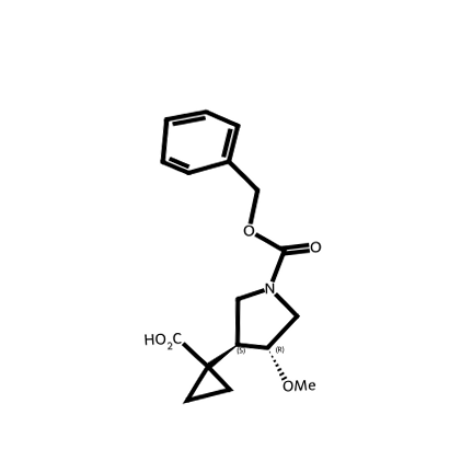 CO[C@H]1CN(C(=O)OCc2ccccc2)C[C@@H]1C1(C(=O)O)CC1